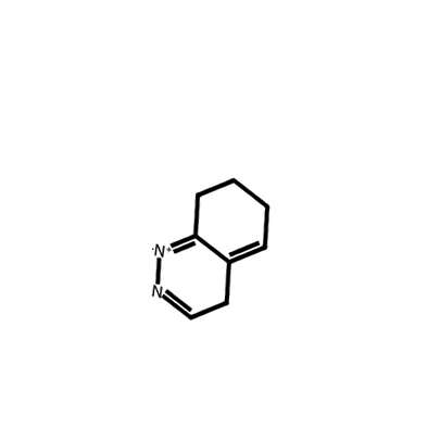 C1=N[N+]=C2CCCC=C2C1